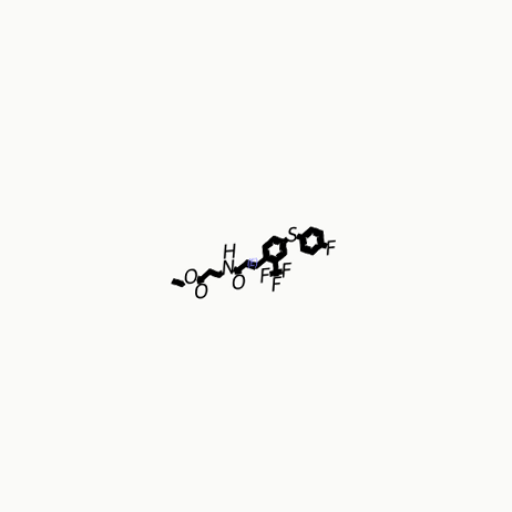 CCOC(=O)CCNC(=O)/C=C/c1ccc(Sc2ccc(F)cc2)cc1C(F)(F)F